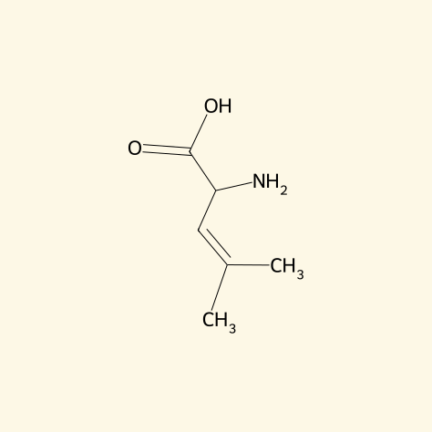 CC(C)=CC(N)C(=O)O